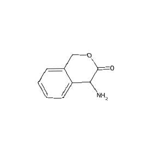 NC1C(=O)OCc2ccccc21